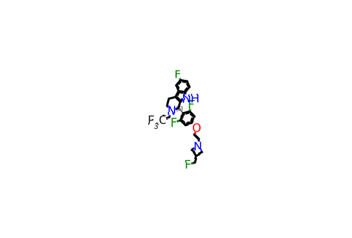 FCC1CN(CCOc2cc(F)c([C@H]3c4[nH]c5ccc(F)cc5c4CCN3CC(F)(F)F)c(F)c2)C1